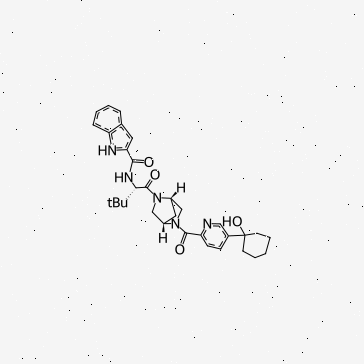 CC(C)(C)[C@H](NC(=O)c1cc2ccccc2[nH]1)C(=O)N1C[C@@H]2C[C@H]1CN2C(=O)c1ccc(C2(O)CCCCC2)cn1